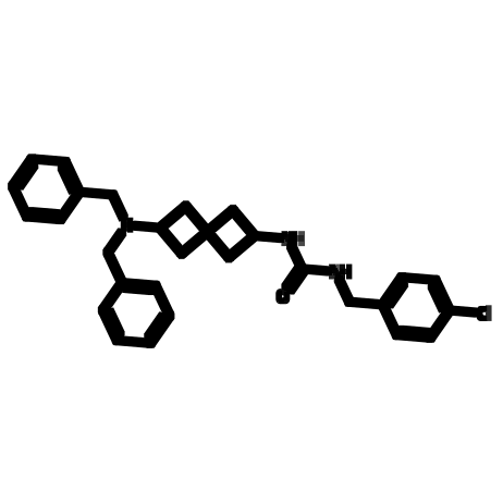 O=C(NCc1ccc(Cl)cc1)NC1CC2(C1)CC(N(Cc1ccccc1)Cc1ccccc1)C2